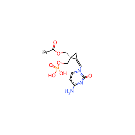 CC(C)C(=O)OC[C@]1(COP(=O)(O)O)C/C1=C/n1ccc(N)nc1=O